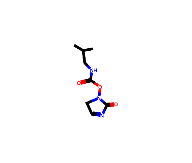 CC(C)CNC(=O)ON1CC=NC1=O